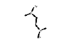 CC(C)N(C)CCN(C)C(C)C